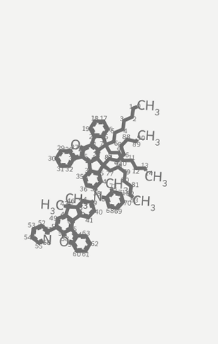 CCCCCCCC1(CCCCCCC)c2ccccc2-c2c1c1c(c3c2oc2ccccc23)-c2ccc(N(c3ccc4c(c3)C(C)(C)c3cc(-c5ccccn5)c5oc6ccccc6c5c3-4)c3ccccc3C)cc2C1(CCCCCCC)CCCCCCC